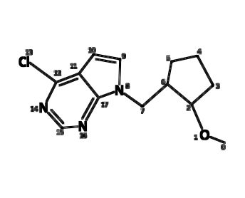 COC1CCCC1Cn1ccc2c(Cl)ncnc21